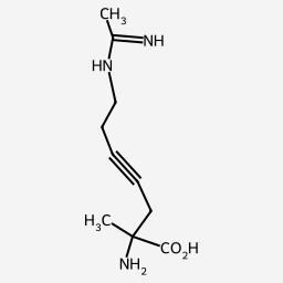 CC(=N)NCCC#CCC(C)(N)C(=O)O